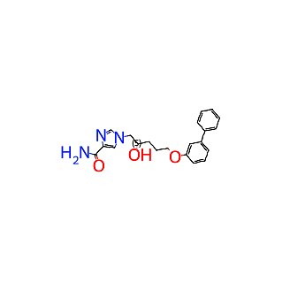 NC(=O)c1cn(C[C@@H](O)CCCOc2cccc(-c3ccccc3)c2)cn1